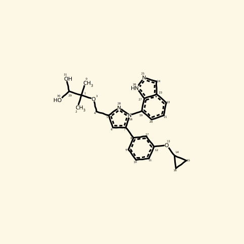 CC(C)(OCc1cc(-c2cccc(OC3CC3)c2)n(-c2cccc3cn[nH]c23)n1)C(O)O